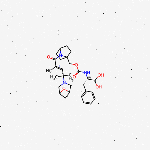 CC(C)(/C=C(\C#N)C(=O)N1C2CCC1(COC(=O)N[C@@H](Cc1ccccc1)B(O)O)CC2)N1CC2CC(C1)O2